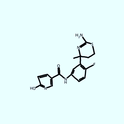 CC1(c2cc(NC(=O)c3ccc(O)nc3)ccc2F)CCSC(N)=N1